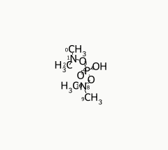 CN(C)OP(=O)(O)ON(C)C